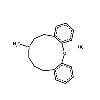 CN1CCCc2ccccc2Oc2ccccc2CC1.Cl